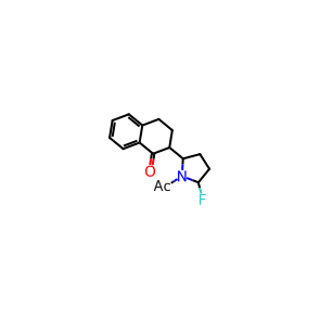 CC(=O)N1C(F)CCC1C1CCc2ccccc2C1=O